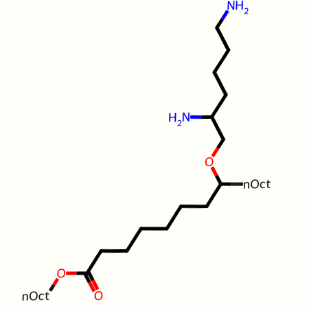 CCCCCCCCOC(=O)CCCCCCC(CCCCCCCC)OCC(N)CCCCN